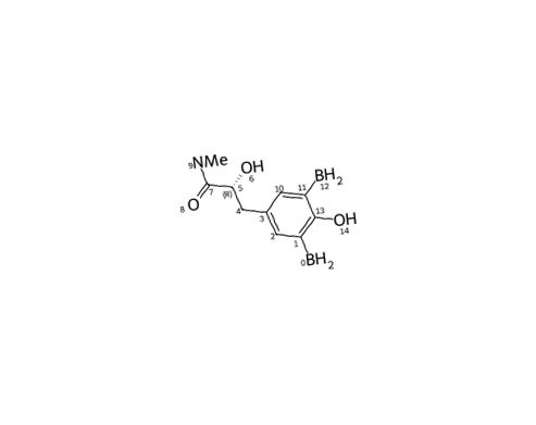 Bc1cc(C[C@@H](O)C(=O)NC)cc(B)c1O